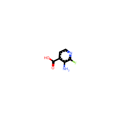 Nc1c(C(=O)O)ccnc1F